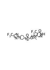 CC(COC1CCN(C2CCN(c3ncc(C(F)(F)F)cn3)CC2)C1=O)Nc1cn[nH]c(=O)c1C(F)(F)F